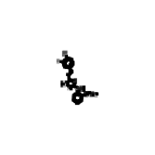 COc1ccccc1Nc1n[nH]c(SCc2ccc(F)c(F)c2)n1